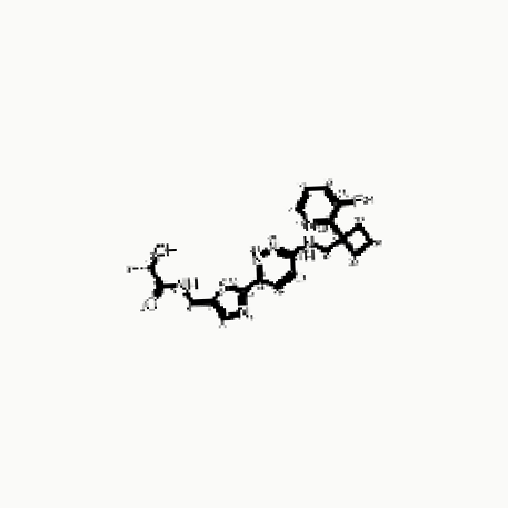 C[C@H](O)C(=O)NCc1cnc(-c2ccc(NCC3(c4ncccc4F)CCC3)nn2)s1